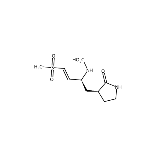 CS(=O)(=O)/C=C/[C@H](C[C@@H]1CCNC1=O)NC(=O)O